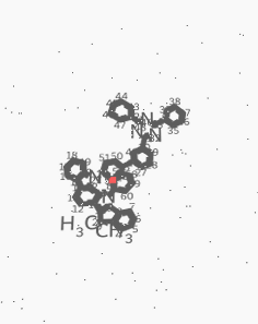 CC1(C)c2ccccc2-c2c1c1ccc3c4ccccc4n(-c4ccc(-c5cccc(-c6nc(-c7ccccc7)nc(-c7ccccc7)n6)c5)cc4)c3c1n2-c1ccccc1